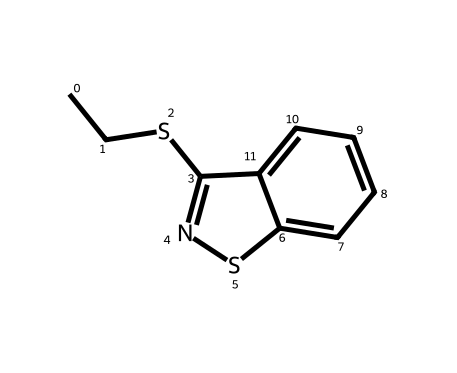 CCSc1nsc2ccccc12